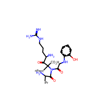 CCCCCC(C(=O)O)(C(=O)C(N)CCCNC(=N)N)N(C(=O)CNc1ccccc1O)C(=O)C(N)C(C)C